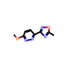 COc1ccc(-c2noc(C)n2)nn1